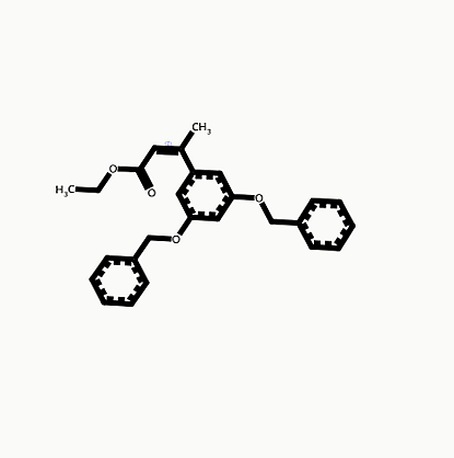 CCOC(=O)/C=C(/C)c1cc(OCc2ccccc2)cc(OCc2ccccc2)c1